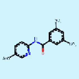 CC(=O)Oc1ccc(NC(=O)c2cc([N+](=O)[O-])cc([N+](=O)[O-])c2)nc1